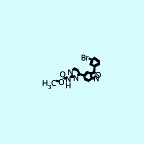 CCOC(=O)Nc1nccc(-c2ccc3noc(-c4cccc(Br)c4)c3c2)n1